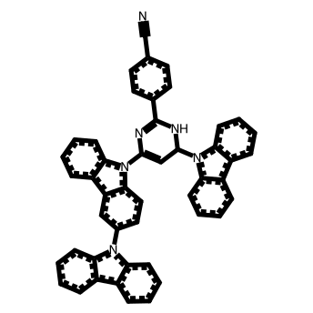 N#Cc1ccc(C2=NC(n3c4ccccc4c4cc(-n5c6ccccc6c6ccccc65)ccc43)=CC(n3c4ccccc4c4ccccc43)N2)cc1